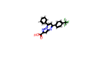 O=C(O)c1cc2nc(-c3ccc(C(F)(F)F)cc3)cc(-c3ccccc3)n2n1